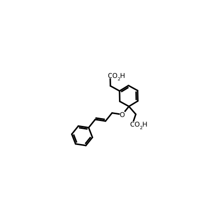 O=C(O)CC1=CC=CC(CC(=O)O)(OCC=Cc2ccccc2)C1